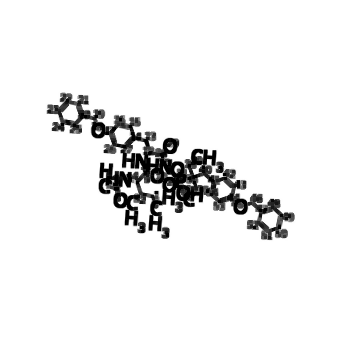 CC[C@H](C)[C@H](NC(C)=O)C(=O)N[C@@H](Cc1ccc(OCc2ccccc2)cc1)C(=O)NOP(=O)(O)C(CC)(CC)Cc1ccc(OCc2ccccc2)cc1